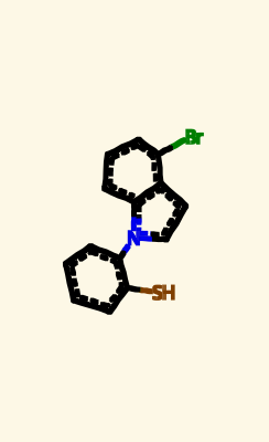 Sc1ccccc1-n1ccc2c(Br)cccc21